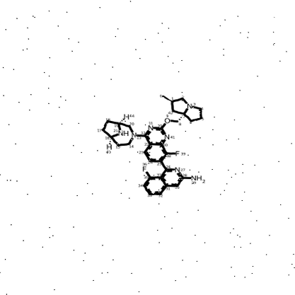 C[C@H]1CN2CCC[C@@]2(COc2nc(N3CC[C@H]4CC[C@@H](C3)N4)c3ccc(-c4nc(N)cc5cccc(F)c45)c(F)c3n2)C1